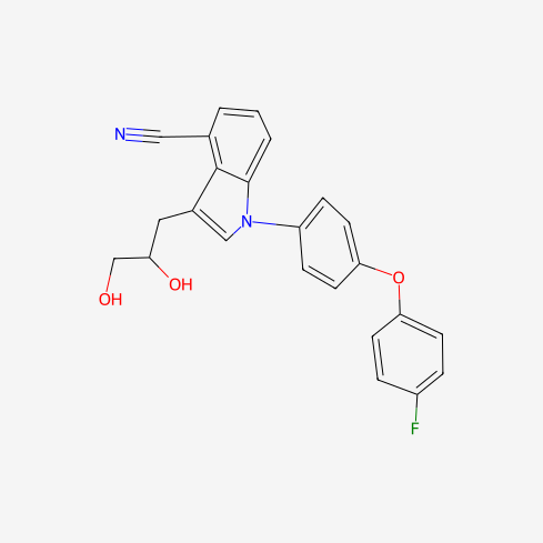 N#Cc1cccc2c1c(CC(O)CO)cn2-c1ccc(Oc2ccc(F)cc2)cc1